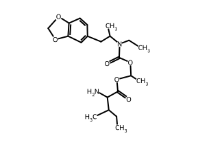 CCC(C)C(N)C(=O)OC(C)OC(=O)N(CC)C(C)Cc1ccc2c(c1)OCO2